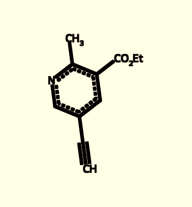 C#Cc1cnc(C)c(C(=O)OCC)c1